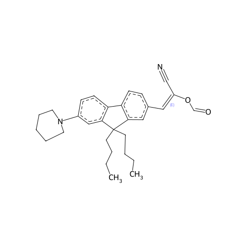 CCCCC1(CCCC)c2cc(/C=C(\C#N)OC=O)ccc2-c2ccc(N3CCCCC3)cc21